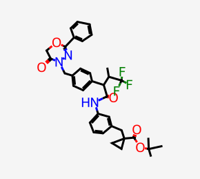 CC(C(C(=O)Nc1cccc(CC2(C(=O)OC(C)(C)C)CC2)c1)c1ccc(CN2N=C(c3ccccc3)OCC2=O)cc1)C(F)(F)F